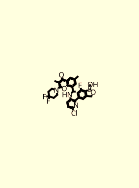 Cc1cc(C(C)Nc2ccc(Cl)nc2-c2cc(F)c3c(c2)COB3O)c2oc(N3CCC(F)(F)CC3)c(C)c(=O)c2c1